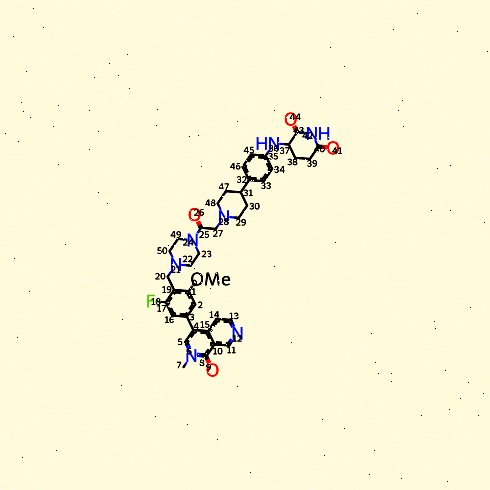 COc1cc(-c2cn(C)c(=O)c3cnccc23)cc(F)c1CN1CCN(C(=O)CN2CCC(c3ccc(NC4CCC(=O)NC4=O)cc3)CC2)CC1